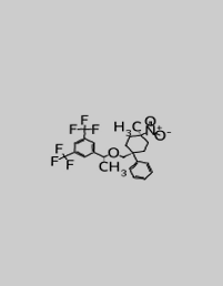 C[C@@H](OC[C@]1(c2ccccc2)CC[C@](C)([N+](=O)[O-])CC1)c1cc(C(F)(F)F)cc(C(F)(F)F)c1